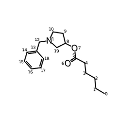 CCCCCC(=O)OC1CCN(Cc2ccccc2)C1